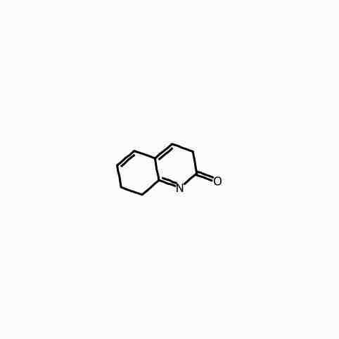 O=C1CC=C2C=CCCC2=N1